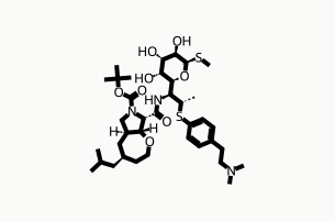 CS[C@H]1O[C@H]([C@H](NC(=O)[C@@H]2[C@@H]3OCC[C@@H](CC(C)C)C[C@H]3CN2C(=O)OC(C)(C)C)[C@H](C)Sc2ccc(CCN(C)C)cc2)[C@H](O)[C@H](O)[C@H]1O